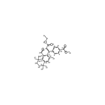 CCOC(=O)C=C(c1ccc(C(=O)OC)cc1)c1c(C)cc2c(c1C=O)C(C)(C)CCC2(C)C